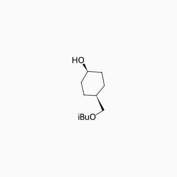 CC(C)COC[C@H]1CC[C@@H](O)CC1